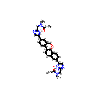 CCCC(=O)N(CCC)Cc1ncc(-c2ccc3c(c2)COc2c-3ccc3cc(-c4cnc(CN(CCC)C(=O)CCC)[nH]4)ccc23)[nH]1